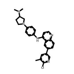 Cc1cc(-c2ccc3nccc(Nc4ccc(N5CCC(N(C)C)C5)cc4)c3c2)cnc1Cl